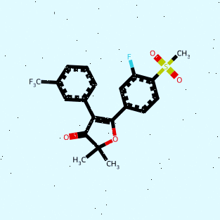 CC1(C)OC(c2ccc(S(C)(=O)=O)c(F)c2)=C(c2cccc(C(F)(F)F)c2)C1=O